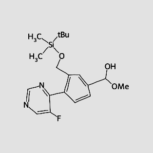 COC(O)c1ccc(-c2ncncc2F)c(CO[Si](C)(C)C(C)(C)C)c1